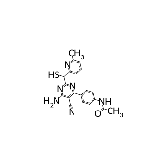 CC(=O)Nc1ccc(-c2nc(C(S)c3cccc(C)n3)nc(N)c2C#N)cc1